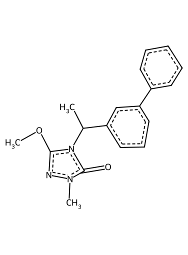 COc1nn(C)c(=O)n1C(C)c1cccc(-c2ccccc2)c1